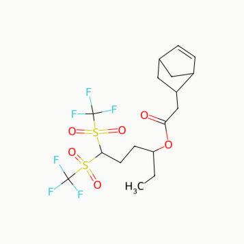 CCC(CCC(S(=O)(=O)C(F)(F)F)S(=O)(=O)C(F)(F)F)OC(=O)CC1CC2C=CC1C2